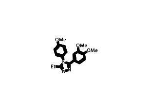 CCc1nnc(-c2ccc(OC)c(OC)c2)n1-c1ccc(OC)cc1